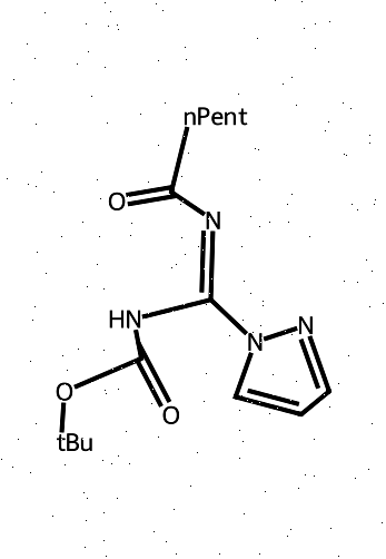 CCCCCC(=O)N=C(NC(=O)OC(C)(C)C)n1cccn1